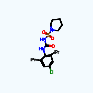 CC(C)c1cc(Cl)cc(C(C)C)c1NC(=O)NS(=O)(=O)N1CCCCC1